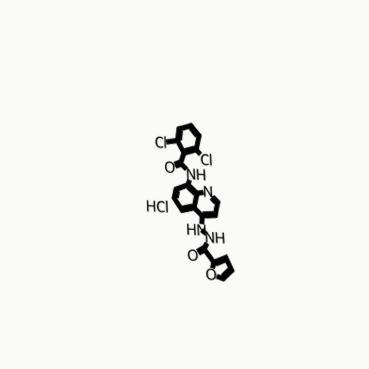 Cl.O=C(NNc1ccnc2c(NC(=O)c3c(Cl)cccc3Cl)cccc12)c1ccco1